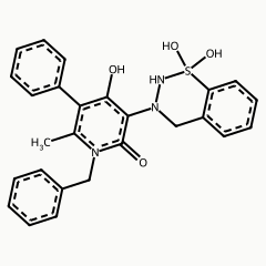 Cc1c(-c2ccccc2)c(O)c(N2Cc3ccccc3S(O)(O)N2)c(=O)n1Cc1ccccc1